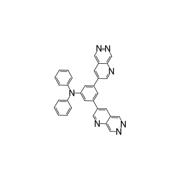 c1ccc(N(c2ccccc2)c2cc(-c3cnc4cnncc4c3)cc(-c3cnc4cnncc4c3)c2)cc1